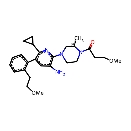 COCCC(=O)N1CCN(c2nc(C3CC3)c(-c3ccccc3CCOC)cc2N)C[C@H]1C